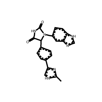 Cc1nc(-c2ccc(C3C(=O)NC(=O)N3c3ccc4[nH]cnc4c3)cc2)c[nH]1